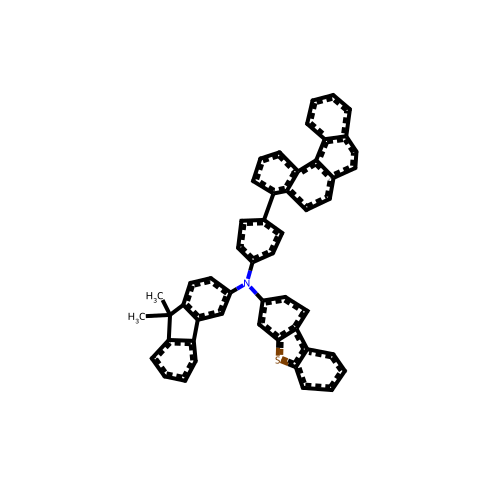 CC1(C)c2ccccc2-c2cc(N(c3ccc(-c4cccc5c4ccc4ccc6ccccc6c45)cc3)c3ccc4c(c3)sc3ccccc34)ccc21